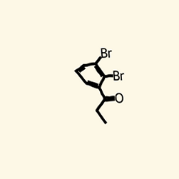 CCC(=O)c1cccc(Br)c1Br